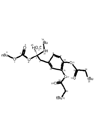 CCCCOC(=O)O[C@](Cc1ccc(OC(=O)CC(C)(C)C)c(OC(=O)CC(C)(C)C)c1)(NC(C)CC)C(=O)O